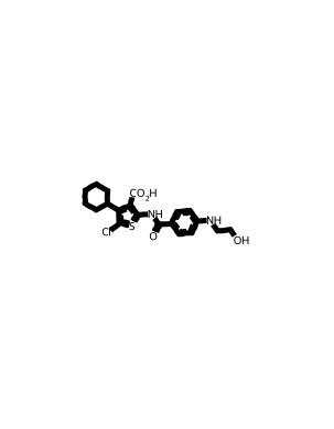 O=C(Nc1sc(Cl)c(C2CCCCC2)c1C(=O)O)c1ccc(NCCO)cc1